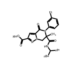 CCCCC(CCC)NC(=O)C1(C)Cn2nc(C(=O)OC)cc2C(=O)N1c1cccc(CC)c1